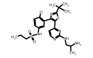 CCCS(=O)(=O)Nc1ccc(Cl)c(-c2nc(C(C)(C)C)sc2-c2ccnc(NCC(C)N)n2)c1